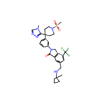 Cn1cnnc1C1(c2cccc(N3Cc4c(cc(CNC5(C)CCC5)cc4C(F)(F)F)C3=O)c2)CCN(S(C)(=O)=O)CC1